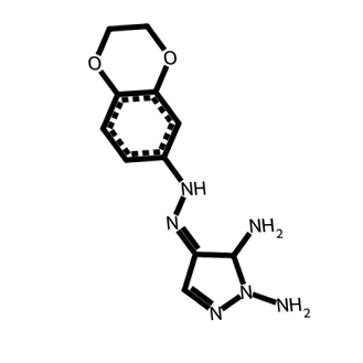 NC1C(=NNc2ccc3c(c2)OCCO3)C=NN1N